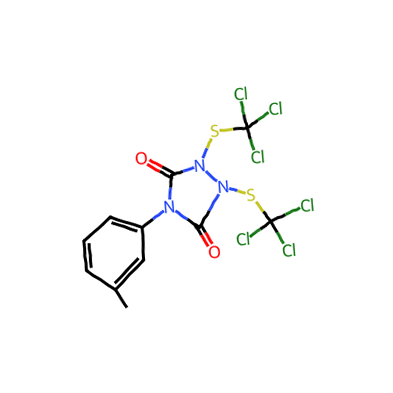 Cc1cccc(-n2c(=O)n(SC(Cl)(Cl)Cl)n(SC(Cl)(Cl)Cl)c2=O)c1